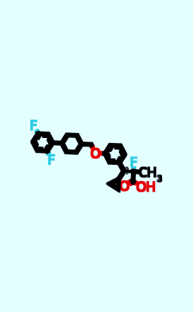 CC(F)(C(=O)O)[C@H](c1cccc(OCC2CCC(c3cc(F)ccc3F)CC2)c1)C1CC1